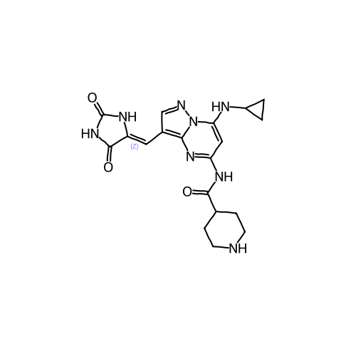 O=C1NC(=O)/C(=C/c2cnn3c(NC4CC4)cc(NC(=O)C4CCNCC4)nc23)N1